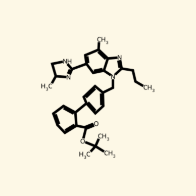 CCCc1nc2c(C)cc(C3=NC(C)CN3)cc2n1Cc1ccc(-c2ccccc2C(=O)OC(C)(C)C)cc1